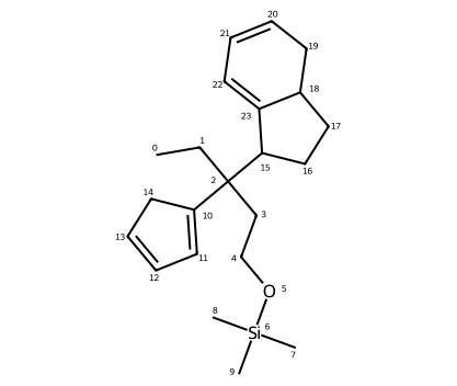 CCC(CCO[Si](C)(C)C)(C1=CC=CC1)C1CCC2CC=CC=C21